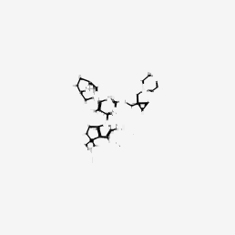 N#CC1=C(N)[SH](c2nc(OCC3(CN4CCOCC4)CC3)nc(N3CC4CCC(C3)N4)c2F)C2=C1C1(CC2)CNC1